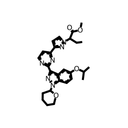 CCC(C(=O)OC)n1ccc(-c2ccnc(-c3nn(C4CCCCO4)c4ccc(OC(C)C)cc34)n2)n1